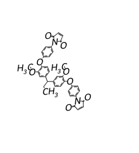 CCC(c1ccc(Oc2ccc(N3C(=O)C=CC3=O)cc2)c(OC)c1)c1ccc(Oc2ccc(N3C(=O)C=CC3=O)cc2)c(OC)c1